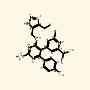 CCc1nn[nH]c1COc1nc(N)nc(-c2ccc(F)cc2)c1-c1cc(C)nc(C(F)F)c1